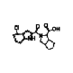 O=C(O)C1C2CCCC2CN1C(=O)c1cc2c(Cl)cccc2[nH]1